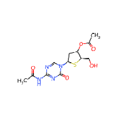 CC(=O)Nc1ncn([C@H]2CC(OC(C)=O)[C@@H](CO)S2)c(=O)n1